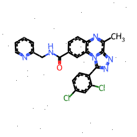 Cc1nc2ccc(C(=O)NCc3ccccn3)cc2n2c(-c3ccc(Cl)cc3Cl)nnc12